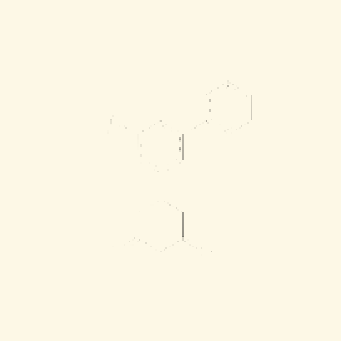 Cc1cc(-c2ccccc2)cc(C2CC(=O)CC(=O)C2)c1